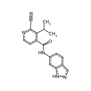 CC(C)c1c(C(=O)Nc2ccc3cn[nH]c3c2)ccnc1C#N